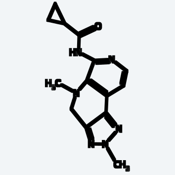 CN1Cc2nn(C)nc2-c2ccnc(NC(=O)C3CC3)c21